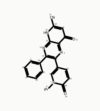 CC(C)n1cc(-c2nc3c(=O)cc(C#N)[nH]c3nc2-c2ccccc2)ccc1=O